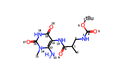 CC(CNC(=O)OC(C)(C)C)C(=O)Nc1c(N)n(C)c(=O)[nH]c1=O